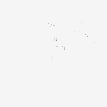 COc1cc(C(=O)N2CC34CC(CC23)C4)cc2nc(-c3cc4cc(/C=C/c5ccccc5)ccc4n3CC3CC3)n(C)c12